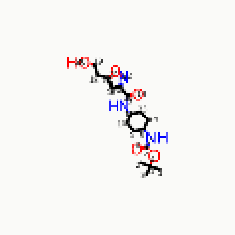 CC(C)(C)OC(=O)N[C@H]1CC[C@H](NC(=O)c2cc(CCO)on2)CC1